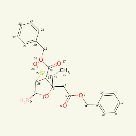 B[C@@H]1O[C@]2(CC(=O)OCc3ccccc3)C(C(=O)OCc3ccccc3)C1[S@+]([O-])[C@@H]2C